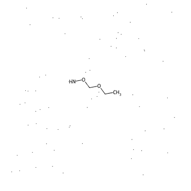 CCOCO[NH]